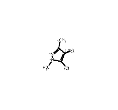 CCc1c(C)nn(C)c1Cl